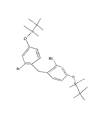 CC(C)(C)[Si](C)(C)Oc1ccc(Cc2ccc(O[Si](C)(C)C(C)(C)C)cc2Br)c(Br)c1